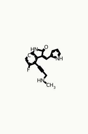 CNCC#Cc1c(F)ccc2c1/C(=C/c1ccc[nH]1)C(=O)N2